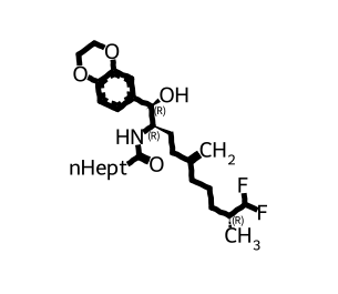 C=C(CCC[C@@H](C)C(F)F)CC[C@@H](NC(=O)CCCCCCC)[C@H](O)c1ccc2c(c1)OCCO2